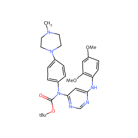 COc1ccc(Nc2cc(N(C(=O)OC(C)(C)C)c3ccc(N4CCN(C)CC4)cc3)ncn2)c(OC)c1